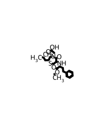 CCOC(=O)C(CCc1ccccc1)NC1CSC(CC(C)C)CN(CC(=O)O)C1=O